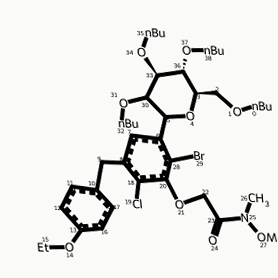 CCCCOC[C@H]1OC(c2cc(Cc3ccc(OCC)cc3)c(Cl)c(OCC(=O)N(C)OC)c2Br)C(OCCCC)[C@@H](OCCCC)[C@@H]1OCCCC